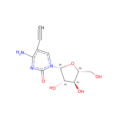 C#Cc1cn([C@@H]2O[C@H](CO)[C@@H](O)[C@@H]2O)c(=O)nc1N